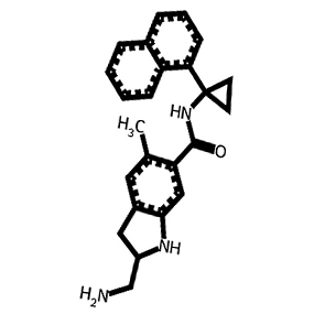 Cc1cc2c(cc1C(=O)NC1(c3cccc4ccccc34)CC1)NC(CN)C2